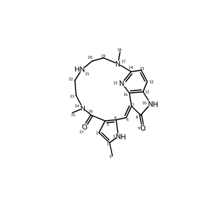 Cc1cc2c([nH]1)/C=C1\C(=O)Nc3ccc(nc31)N(C)CCNCCN(C)C2=O